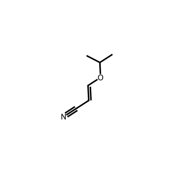 CC(C)OC=CC#N